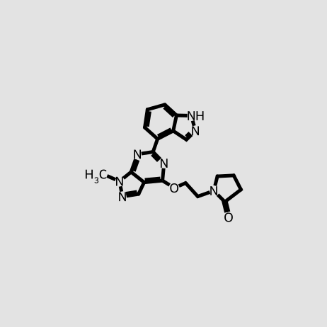 Cn1ncc2c(OCCN3CCCC3=O)nc(-c3cccc4[nH]ncc34)nc21